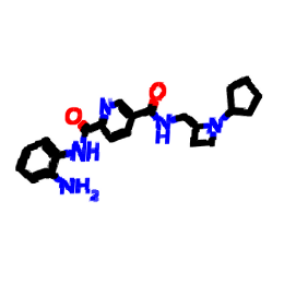 Nc1ccccc1NC(=O)c1ccc(C(=O)NCC2CCN2C2CCCC2)cn1